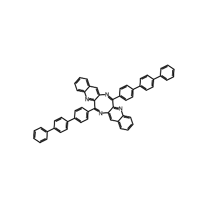 c1ccc(-c2ccc(-c3ccc(/C4=N/c5cc6ccccc6nc5/C(c5ccc(-c6ccc(-c7ccccc7)cc6)cc5)=N\c5cc6ccccc6nc54)cc3)cc2)cc1